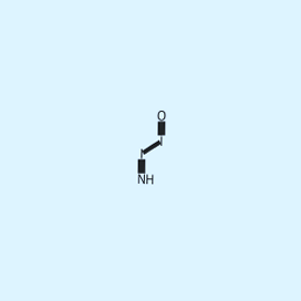 N=II=O